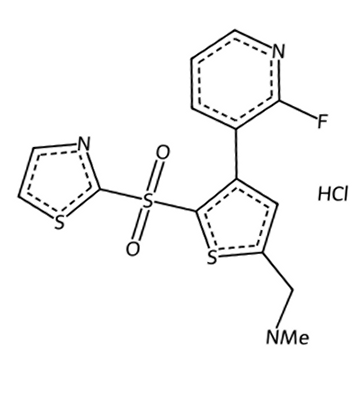 CNCc1cc(-c2cccnc2F)c(S(=O)(=O)c2nccs2)s1.Cl